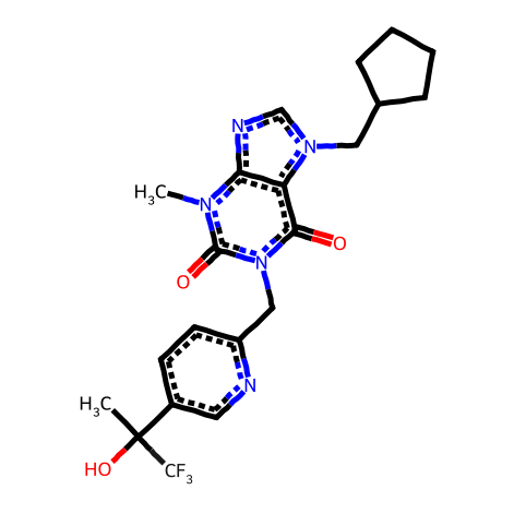 Cn1c(=O)n(Cc2ccc(C(C)(O)C(F)(F)F)cn2)c(=O)c2c1ncn2CC1CCCC1